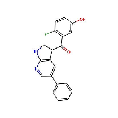 O=C(c1cc(O)ccc1F)C1CNc2ncc(-c3ccccc3)cc21